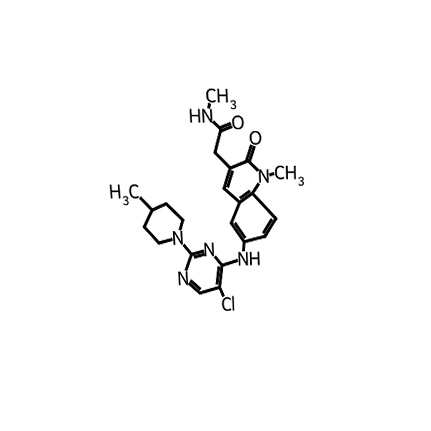 CNC(=O)Cc1cc2cc(Nc3nc(N4CCC(C)CC4)ncc3Cl)ccc2n(C)c1=O